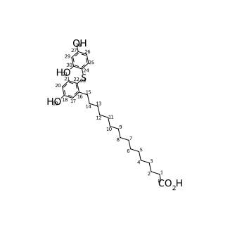 O=C(O)CCCCCCCCCCCCCCCc1cc(O)ccc1Sc1ccc(O)cc1O